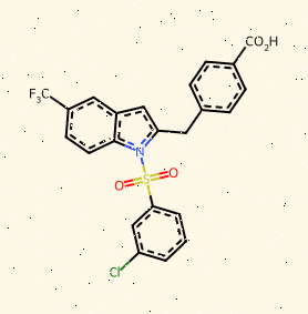 O=C(O)c1ccc(Cc2cc3cc(C(F)(F)F)ccc3n2S(=O)(=O)c2cccc(Cl)c2)cc1